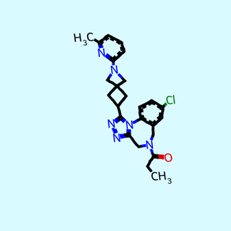 CCC(=O)N1Cc2cc(Cl)ccc2-n2c(nnc2C2CC3(C2)CN(c2cccc(C)n2)C3)C1